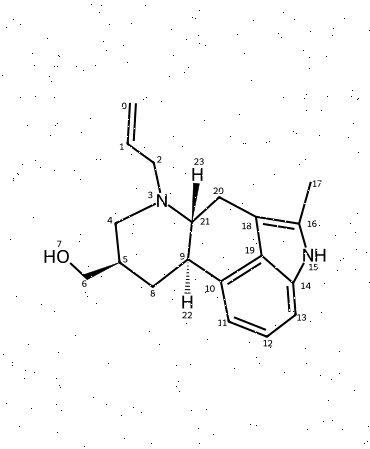 C=CCN1C[C@H](CO)C[C@@H]2c3cccc4[nH]c(C)c(c34)C[C@H]21